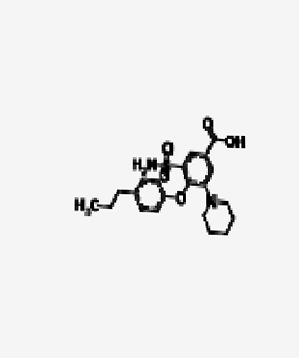 CCCc1ccc(Oc2c(N3CCCCC3)cc(C(=O)O)cc2S(N)(=O)=O)cc1